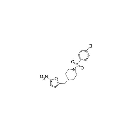 O=[N+]([O-])c1ccc(CN2CCN(S(=O)(=O)c3ccc(Cl)cc3)CC2)o1